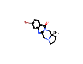 CC12CCCN1Cc1nc3cc(Br)ccc3c(=O)n1C2